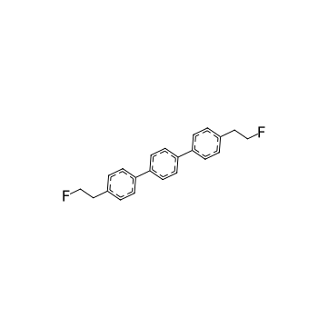 FCCc1ccc(-c2ccc(-c3ccc(CCF)cc3)cc2)cc1